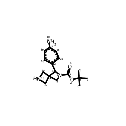 CC(C)(C)OC(=O)N1CC2(CNC2)C1c1ccc(N)cc1